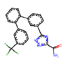 NC(=O)c1nc(-c2cccc(-c3ccccc3-c3cccc(C(F)(F)F)c3)c2)n[nH]1